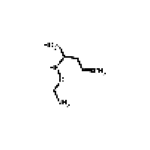 C=CCC(BOCN)C(=O)O